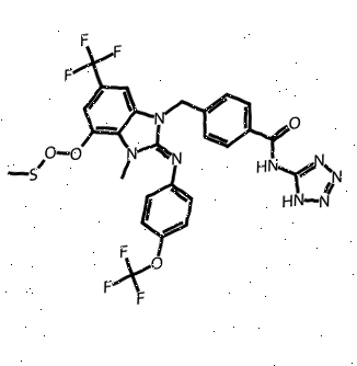 CSOOc1cc(C(F)(F)F)cc2c1n(C)c(=Nc1ccc(OC(F)(F)F)cc1)n2Cc1ccc(C(=O)Nc2nnn[nH]2)cc1